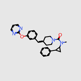 CN(C(=O)N1CCC(=Cc2cccc(Oc3ncccn3)c2)CC1)C1CC1c1ccccc1